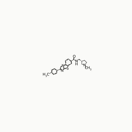 Cc1ccc(-c2cn3c(n2)sc2cc(C(=O)NC[C@H]4CCN(C)C4)ccc23)cc1